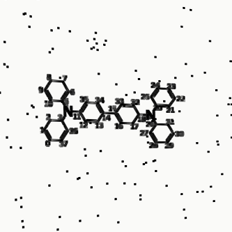 C1=CCC(N(C2=CCCC=C2)c2ccc(C3=CCC(N(c4ccccc4)C4C=CC=CC4)C=C3)cc2)C=C1